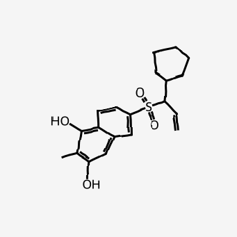 C=CC(C1CCCCC1)S(=O)(=O)c1ccc2c(O)c(C)c(O)cc2c1